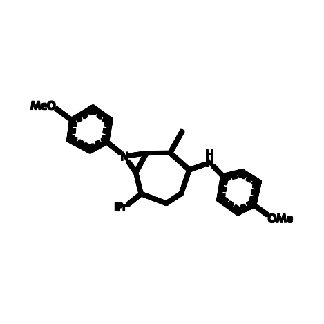 COc1ccc(NC2CCC(C(C)C)C3C(C2C)N3c2ccc(OC)cc2)cc1